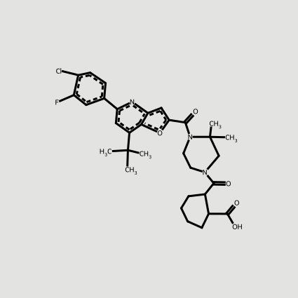 CC(C)(C)c1cc(-c2ccc(Cl)c(F)c2)nc2cc(C(=O)N3CCN(C(=O)C4CCCCC4C(=O)O)CC3(C)C)oc12